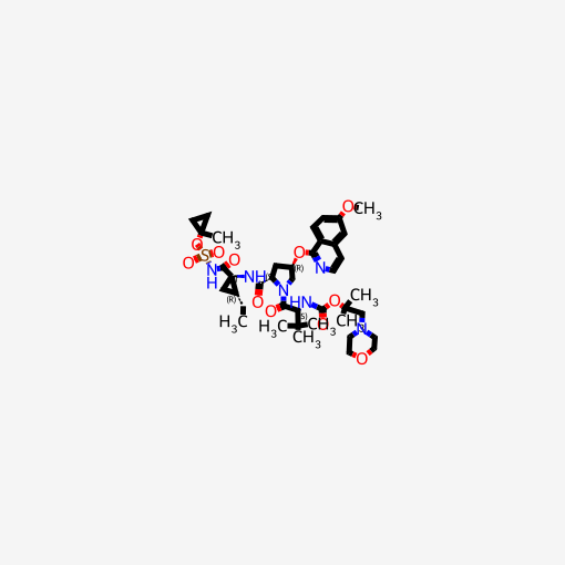 CC[C@@H]1C[C@]1(NC(=O)[C@@H]1C[C@@H](Oc2nccc3cc(OC)ccc23)CN1C(=O)[C@@H](NC(=O)OC(C)(C)CN1CCOCC1)C(C)(C)C)C(=O)NS(=O)(=O)OC1(C)CC1